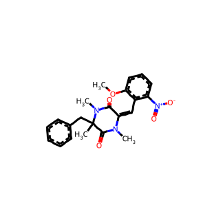 COc1cccc([N+](=O)[O-])c1/C=C1\C(=O)N(C)C(C)(Cc2ccccc2)C(=O)N1C